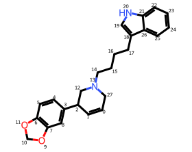 C1=CC(c2ccc3c(c2)OCO3)CN(CCCCc2c[nH]c3ccccc23)C1